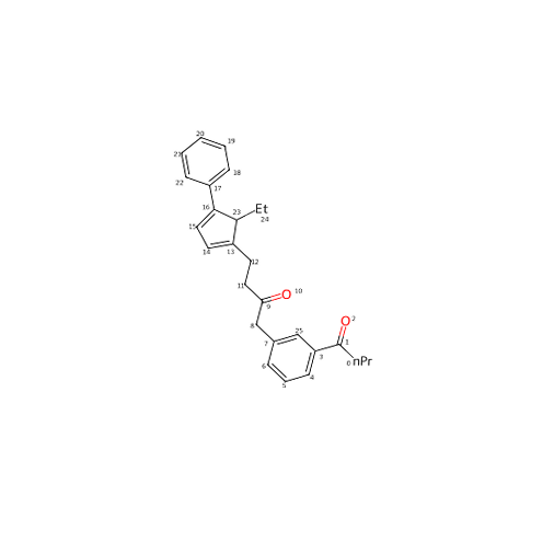 CCCC(=O)c1cccc(CC(=O)CCC2=CC=C(c3ccccc3)C2CC)c1